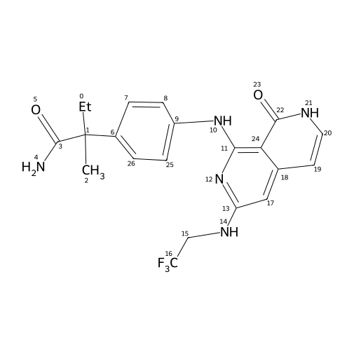 CCC(C)(C(N)=O)c1ccc(Nc2nc(NCC(F)(F)F)cc3cc[nH]c(=O)c23)cc1